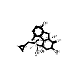 Cc1ccc(O)c2c1[C@]13CC[N@+](C)(CC4CC4)[C@H](O)[C@]1(O)CC(O)C(=O)[C@@H]3C2